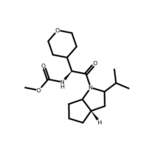 COC(=O)N[C@H](C(=O)N1C(C(C)C)C[C@@H]2CCCC21)C1CCOCC1